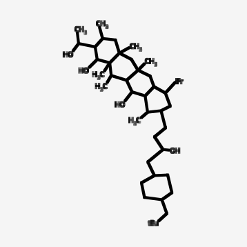 CC(C)C1CC(CCC(O)CC2CCC(CC(C)(C)C)CC2)C(C)C2C(O)C3C(C)C4(C)C(O)C(C(C)O)C(C)CC4(C)CC3(C)CC12